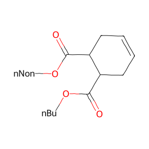 CCCCCCCCCOC(=O)C1CC=CCC1C(=O)OCCCC